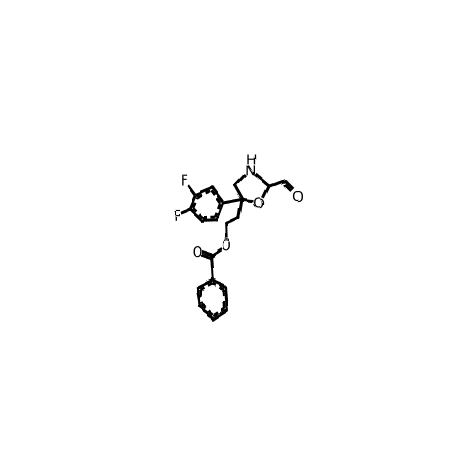 O=CC1NCC(CCOC(=O)c2ccccc2)(c2ccc(F)c(F)c2)O1